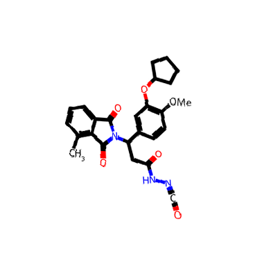 COc1ccc(C(CC(=O)NN=C=O)N2C(=O)c3cccc(C)c3C2=O)cc1OC1CCCC1